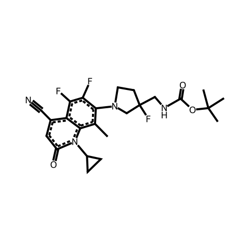 Cc1c(N2CCC(F)(CNC(=O)OC(C)(C)C)C2)c(F)c(F)c2c(C#N)cc(=O)n(C3CC3)c12